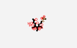 CC(=O)C(O)[C@H]1O[C@@H](CCSS(C)(=O)=O)[C@@](O)(C(C)=O)[C@](O)(C(C)=O)[C@]1(O)C(C)=O